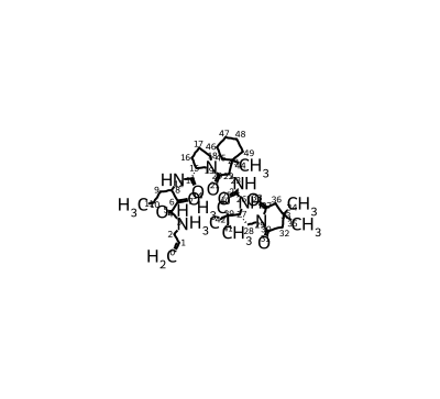 C=CCNC(=O)C(=O)C(CCC)NC(=O)[C@@H]1CCCN1C(=O)[C@@H](NC(=O)N[C@H](CN1C(=O)CC(C)(C)CC1=O)C(C)(C)C)C1(C)CCCCC1